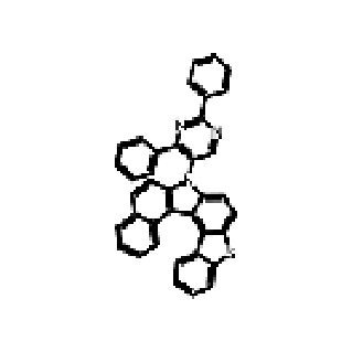 c1ccc(-c2ncc(-n3c4ccc5ccccc5c4c4c5c(ccc43)sc3ccccc35)c(-c3ccccc3)n2)cc1